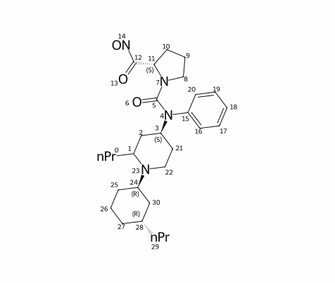 CCCC1C[C@@H](N(C(=O)N2CCC[C@H]2C(=O)N=O)c2ccccc2)CCN1[C@@H]1CCC[C@@H](CCC)C1